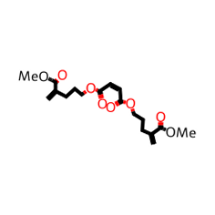 C=C(CCCOC(=O)/C=C\C(=O)OCCCC(=C)C(=O)OC)C(=O)OC